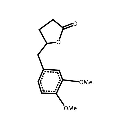 COc1ccc(CC2CCC(=O)O2)cc1OC